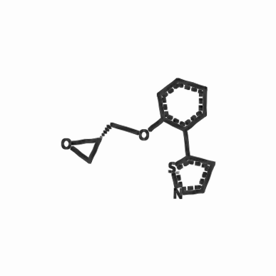 c1ccc(-c2ccns2)c(OC[C@@H]2CO2)c1